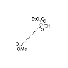 CCOC(=O)OC(C)OC(=O)CCCCCCCCCCC(=O)OC